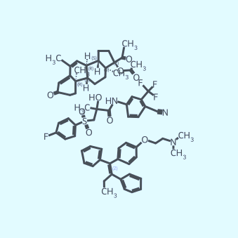 CC(=O)O[C@]1(C(C)=O)CC[C@H]2[C@@H]3C=C(C)C4=CC(=O)CC[C@]4(C)[C@H]3CC[C@@]21C.CC(O)(CS(=O)(=O)c1ccc(F)cc1)C(=O)Nc1ccc(C#N)c(C(F)(F)F)c1.CC/C(=C(\c1ccccc1)c1ccc(OCCN(C)C)cc1)c1ccccc1